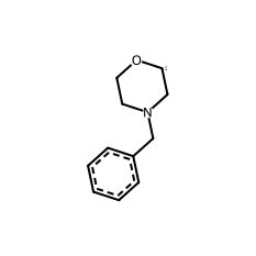 [C]1CN(Cc2ccccc2)CCO1